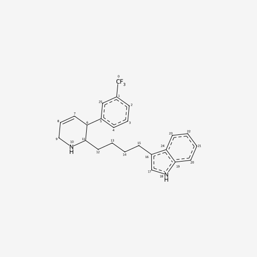 FC(F)(F)c1cccc(C2C=CCNC2CCCCc2c[nH]c3ccccc23)c1